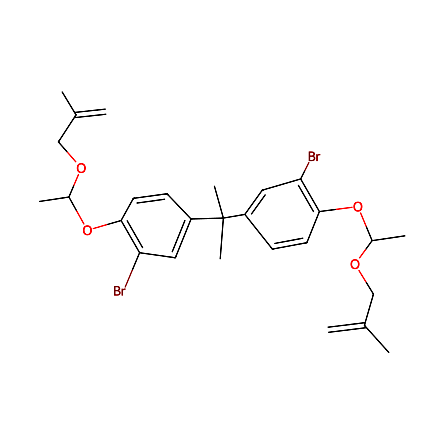 C=C(C)COC(C)Oc1ccc(C(C)(C)c2ccc(OC(C)OCC(=C)C)c(Br)c2)cc1Br